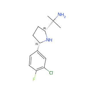 CC(C)(N)[C@H]1CC[C@@H](c2ccc(F)c(Cl)c2)N1